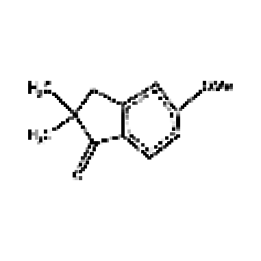 COc1ccc2c(c1)CC(C)(C)C2=O